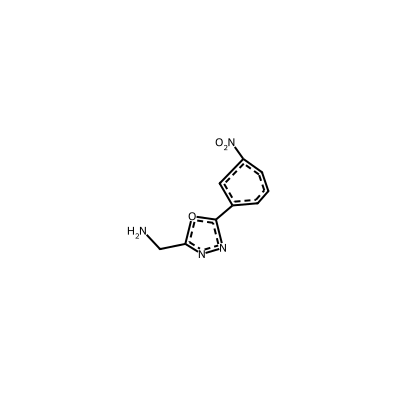 NCc1nnc(-c2cccc([N+](=O)[O-])c2)o1